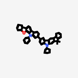 CC1(C)c2ccccc2-c2cc3c4cc(-c5ccc6c7ccc8c9ccccc9oc8c7n(-c7ccccc7)c6c5)ccc4n(-c4ccccc4)c3cc21